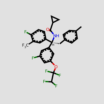 Cc1ccc(C[C@](NC(=O)C2CC2)(c2cc(F)cc(OC(F)(F)C(F)F)c2)c2ccc(F)c(C(F)(F)F)c2)cc1